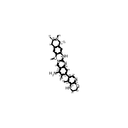 COc1cc2c(cc1Nc1ncc3c(N)c(F)c(-c4cnc5c(c4C)NCCO5)cc3n1)[C@@H](C)N(C)[C@H](C)C2